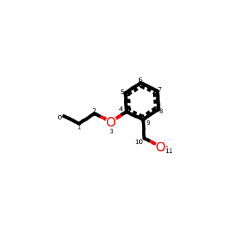 CCCOc1ccccc1C[O]